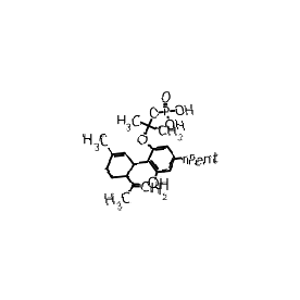 C=C(C)C1CCC(C)=CC1c1c(O)cc(CCCCC)cc1OC(C)(C)OP(=O)(O)O